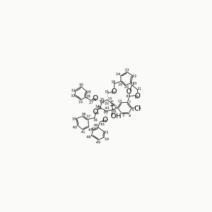 O[C@@]1(c2ccc(Cl)c(C3OCCO3)c2)S[C@@H](COCc2ccccc2)[C@@H](OCc2ccccc2)[C@H](OCc2ccccc2)[C@H]1OCc1ccccc1